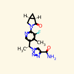 Cc1c([C@@H](C)n2cc(C(N)=O)nn2)cnc(N2C[C@H]3C[C@H]3C2=O)c1F